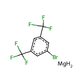 FC(F)(F)c1cc(Br)cc(C(F)(F)F)c1.[MgH2]